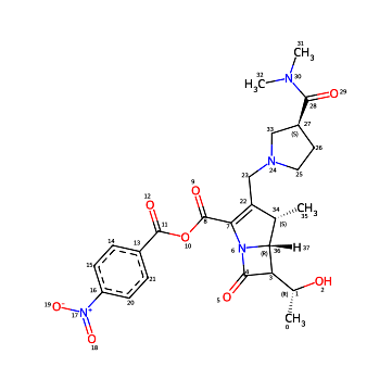 C[C@@H](O)C1C(=O)N2C(C(=O)OC(=O)c3ccc([N+](=O)[O-])cc3)=C(CN3CC[C@H](C(=O)N(C)C)C3)[C@H](C)[C@H]12